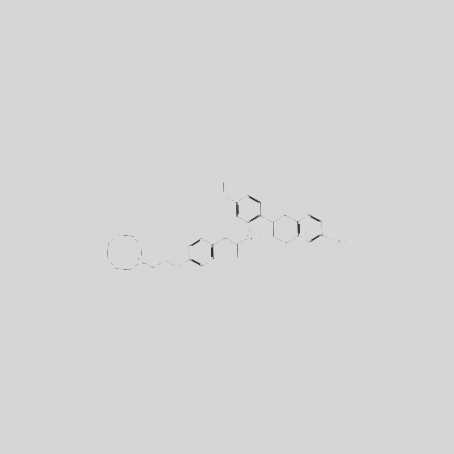 COc1ccc(C2CCc3cc(O)ccc3C2)c(NC(C)Cc2ccc(OCCN3CCCCCCC3)cc2)c1